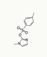 Cc1ccc(S(=O)(=O)Oc2nccn2C)cc1